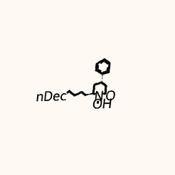 CCCCCCCCCCCCCC[C@H]1C[C@H](c2ccccc2)CC(=O)N1O